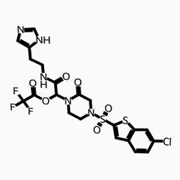 O=C(NCCc1cnc[nH]1)C(OC(=O)C(F)(F)F)N1CCN(S(=O)(=O)c2cc3ccc(Cl)cc3s2)CC1=O